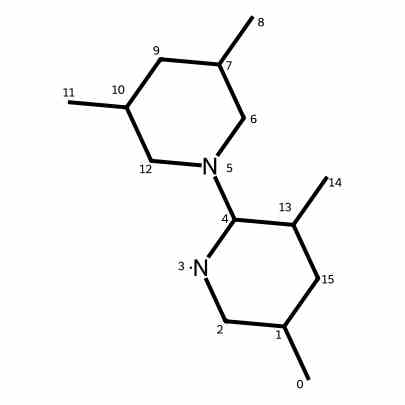 CC1C[N]C(N2CC(C)CC(C)C2)C(C)C1